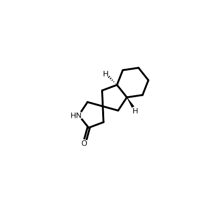 O=C1CC2(CN1)C[C@H]1CCCC[C@@H]1C2